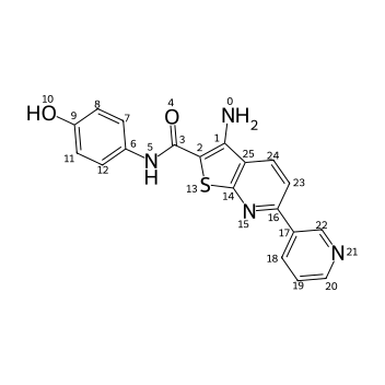 Nc1c(C(=O)Nc2ccc(O)cc2)sc2nc(-c3cccnc3)ccc12